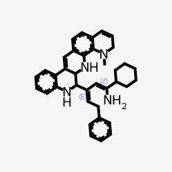 CN1CC=Cc2ccc3c(c21)NC1C(=C3)c2ccccc2NC1C(/C=C(\N)C1CCCCC1)=C/Cc1ccccc1